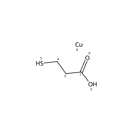 O=C(O)CCS.[Cu]